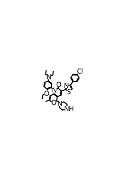 CCOc1ccc(N(CC)CC)cc1-n1c(C=C(C)C)c(C(=O)N2CCNCC2)cc(-c2nc(-c3ccc(Cl)cc3)cs2)c1=O